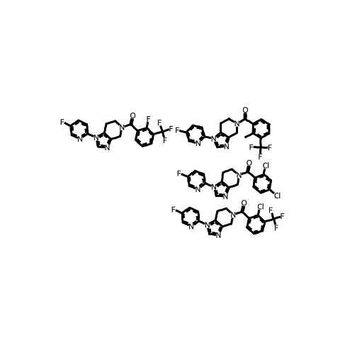 Cc1c(C(=O)N2CCc3c(ncn3-c3ccc(F)cn3)C2)cccc1C(F)(F)F.O=C(c1ccc(Cl)cc1Cl)N1CCc2c(ncn2-c2ccc(F)cn2)C1.O=C(c1cccc(C(F)(F)F)c1Cl)N1CCc2c(ncn2-c2ccc(F)cn2)C1.O=C(c1cccc(C(F)(F)F)c1F)N1CCc2c(ncn2-c2ccc(F)cn2)C1